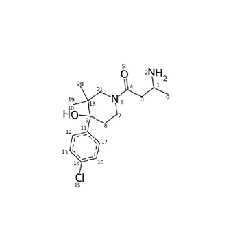 CC(N)CC(=O)N1CCC(O)(c2ccc(Cl)cc2)C(C)(C)C1